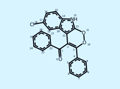 O=C(C1=C(c2ccccc2)OOc2[nH]c3ccc(Cl)cc3c21)c1ccccc1